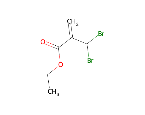 C=C(C(=O)OCC)C(Br)Br